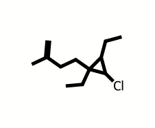 C=C(C)CCC1(CC)C(Cl)C1CC